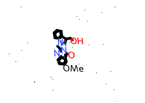 COc1ccc2nc(CN3CC(CO)c4ccccc43)[nH]c(=O)c2c1